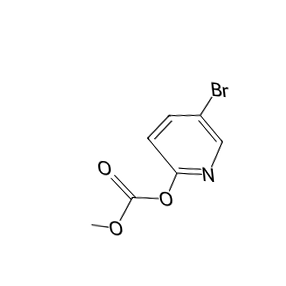 COC(=O)Oc1ccc(Br)cn1